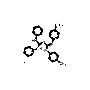 Cc1ccc(/N=C(\N=C(Nc2ccccc2)Nc2ccccc2)Nc2ccc(C)cc2)cc1